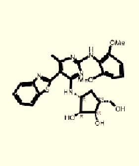 COc1cccc(OC)c1Nc1nc(C)c(-c2nc3ccccc3s2)c(N[C@@H]2C[C@H](CO)[C@@H](O)[C@H]2O)n1